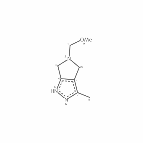 COCN1Cc2[nH]nc(C)c2C1